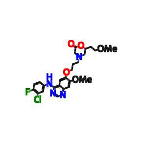 COCCC1CN(CCCOc2cc3c(Nc4ccc(F)c(Cl)c4)ncnc3cc2OC)CC(=O)O1